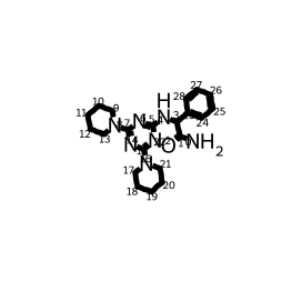 NC(=O)C(Nc1nc(N2CCCCC2)nc(N2CCCCC2)n1)c1ccccc1